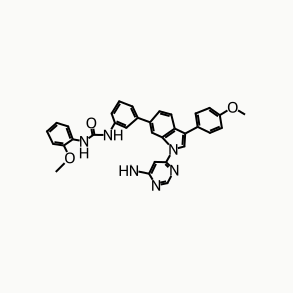 CNc1cc(-n2cc(-c3ccc(OC)cc3)c3ccc(-c4cccc(NC(=O)Nc5ccccc5OC)c4)cc32)ncn1